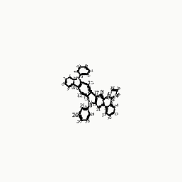 c1ccc(-n2c3ccccc3c3cc4c(cc32)c2cc3c(cc2n4-c2ccccc2)c2ccccc2c2nccn32)cc1